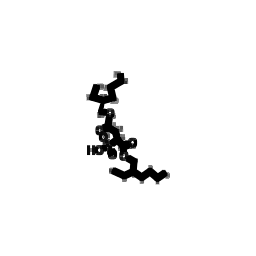 CCCCC(CC)COC(=O)C(CC(=O)OC[C@@H](CC)CCCC)S(=O)(=O)O